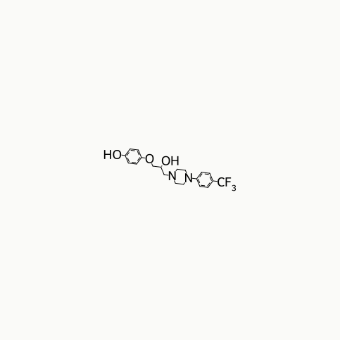 Oc1ccc(OC[C@H](O)CN2CCN(c3ccc(C(F)(F)F)cc3)CC2)cc1